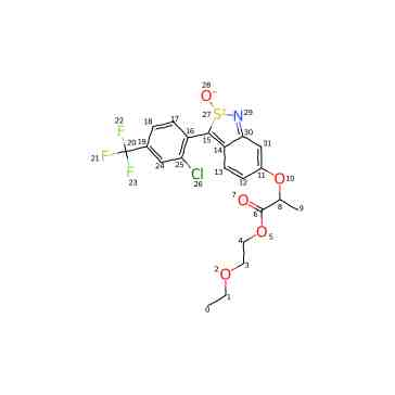 CCOCCOC(=O)C(C)Oc1ccc2c(-c3ccc(C(F)(F)F)cc3Cl)[s+]([O-])nc2c1